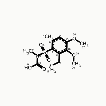 C.CCc1c(S(=O)(=O)N(C)C(=O)O)ccc(OC)c1OC